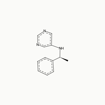 C[C@H](Nc1cncnc1)c1ccccc1